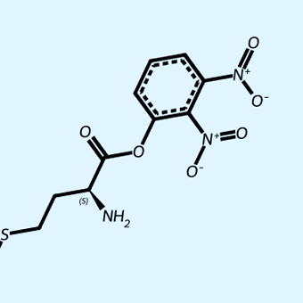 CSCC[C@H](N)C(=O)Oc1cccc([N+](=O)[O-])c1[N+](=O)[O-]